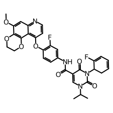 COc1cc2nccc(Oc3ccc(NC(=O)c4cn(C(C)C)c(=O)n(C5CC=CC=C5F)c4=O)cc3F)c2c2c1OCCO2